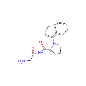 NCC(=O)NC(=O)[C@@H]1CCCN1c1cccc2ccccc12